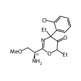 CCC1OC([C@@H](N)COC)=NC(CC)(c2ccccc2Cl)C1=O